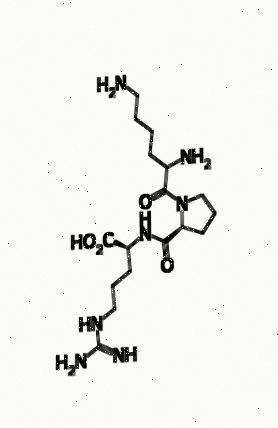 N=C(N)NCCC[C@H](NC(=O)[C@@H]1CCCN1C(=O)C(N)CCCCN)C(=O)O